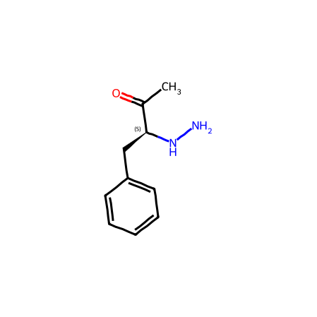 CC(=O)[C@H](Cc1ccccc1)NN